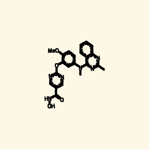 COc1ccc(N(C)c2nc(C)nc3ccccc23)cc1Oc1ncc(C(=O)NO)cn1